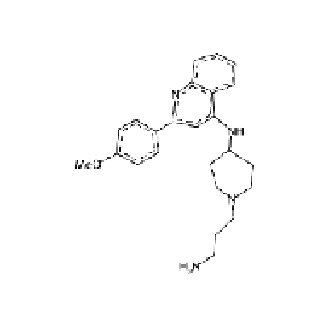 COc1ccc(-c2cc(NC3CCN(CCCN)CC3)c3ccccc3n2)cc1